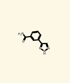 NC(=O)c1cccc(-c2cn[nH]n2)c1